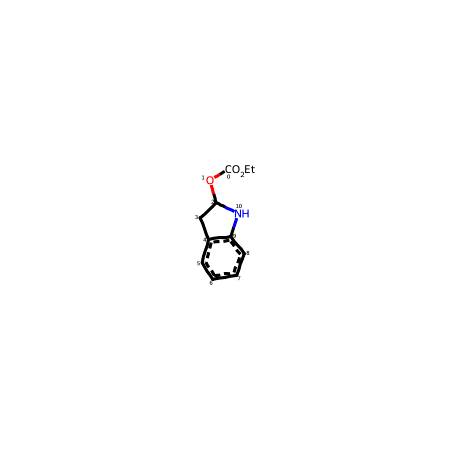 CCOC(=O)OC1Cc2ccccc2N1